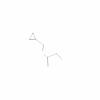 CC(CC(=O)O)OCC1CC1